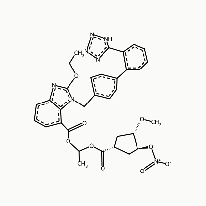 CCOc1nc2cccc(C(=O)OC(C)OC(=O)[C@@H]3C[C@H](OC)[C@@H](O[N+](=O)[O-])C3)c2n1Cc1ccc(-c2ccccc2-c2nnn[nH]2)cc1